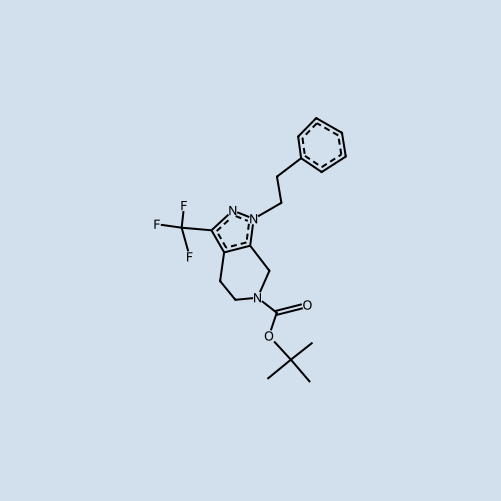 CC(C)(C)OC(=O)N1CCc2c(C(F)(F)F)nn(CCc3ccccc3)c2C1